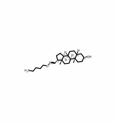 C[C@]12CC[C@H](O)C[C@H]1CC[C@@H]1[C@@H]2CC[C@]2(C)[C@@H](/C=N/OCCCCN)CC[C@@H]12